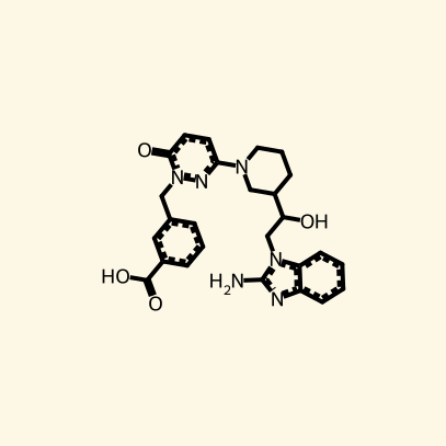 Nc1nc2ccccc2n1CC(O)C1CCCN(c2ccc(=O)n(Cc3cccc(C(=O)O)c3)n2)C1